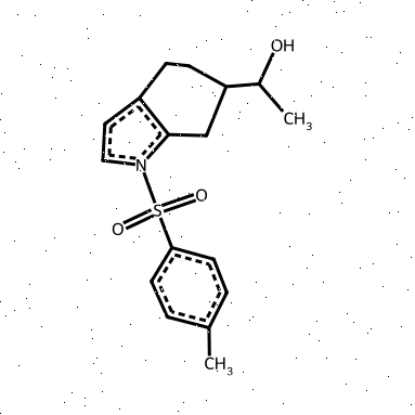 Cc1ccc(S(=O)(=O)n2ccc3c2CC(C(C)O)CC3)cc1